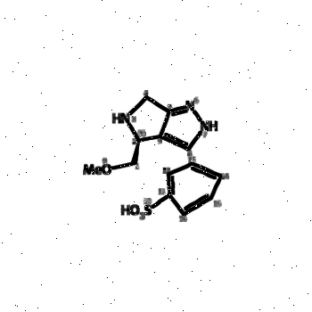 COC[C@H]1NCc2n[nH]cc21.O=S(=O)(O)c1ccccc1